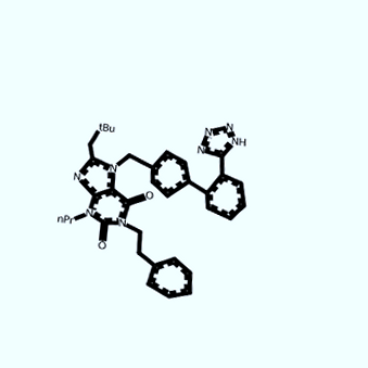 CCCn1c(=O)n(CCc2ccccc2)c(=O)c2c1nc(CC(C)(C)C)n2Cc1ccc(-c2ccccc2-c2nnn[nH]2)cc1